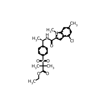 CCOC(=O)C(C)(C)S(=O)(=O)c1ccc([C@@H](C)NC(=O)c2cc3c(Cl)cc(C)cc3n2C)cc1